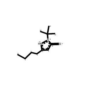 CCCCc1cc(=O)n(C(C)(C)C)[nH]1